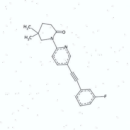 CC1(C)CCC(=O)N(c2ccc(C#Cc3cccc(F)c3)cn2)C1